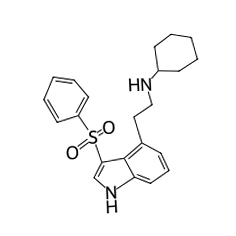 O=S(=O)(c1ccccc1)c1c[nH]c2cccc(CCNC3CCCCC3)c12